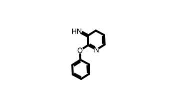 N=C1CC=CN=C1Oc1ccccc1